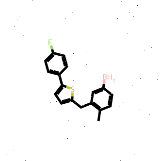 Bc1ccc(C)c(Cc2ccc(-c3ccc(F)cc3)s2)c1